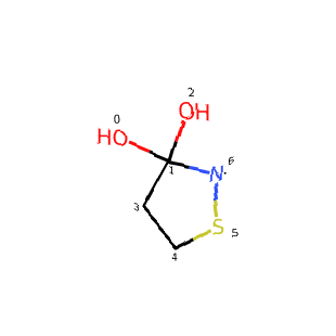 OC1(O)CCS[N]1